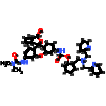 CN(C)C(=O)Nc1ccc2c(c1)Oc1cc(NC(=O)Oc3ccccc3CN(Cc3ccccn3)Cc3ccccn3)ccc1C21OC(=O)c2ccccc21